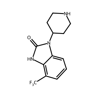 O=c1[nH]c2c(C(F)(F)F)cccc2n1C1CCNCC1